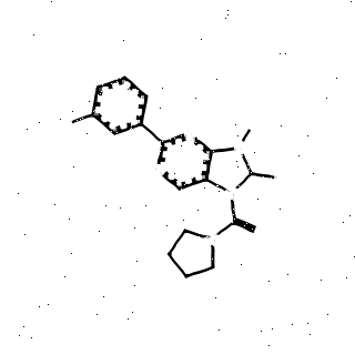 CN1c2nc(-c3cccc(O)c3)ncc2N(C(=O)N2CCCC2)C1C=O